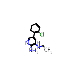 Nc1ncc(C2=C(Cl)C=CCC2)cc1NCC(F)(F)F